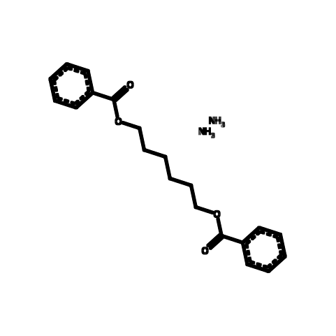 N.N.O=C(OCCCCCCOC(=O)c1ccccc1)c1ccccc1